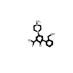 CCC(F)c1cc(N2CCN(C)CC2)cc(-c2ccccc2CO)c1Cl